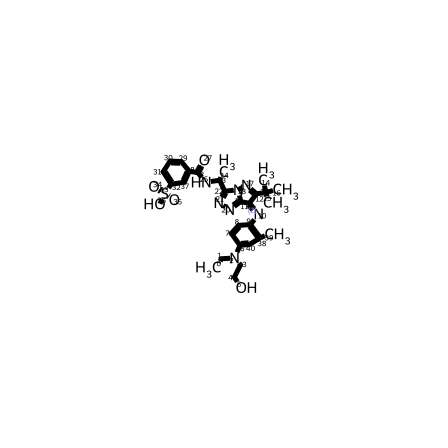 CCN(CCO)c1ccc(/N=C2/C(C(C)(C)C)=Nn3c2nnc3C(C)NC(=O)c2cccc(S(=O)(=O)O)c2)c(C)c1